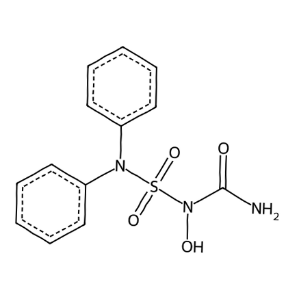 NC(=O)N(O)S(=O)(=O)N(c1ccccc1)c1ccccc1